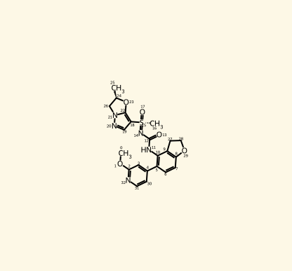 COc1cc(-c2ccc3c(c2NC(=O)N=[S@](C)(=O)c2cnn4c2O[C@H](C)C4)CCO3)ccn1